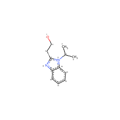 CC(C)n1c(CC[O])nc2ccccc21